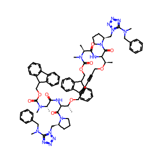 C[C@@H](OCC#CC#CCO[C@H](C)C(NC(=O)[C@H](C)N(C)C(=O)OCC1c2ccccc2-c2ccccc21)C(=O)N1CCC[C@H]1Cn1nnnc1N(C)Cc1ccccc1)C(NC(=O)[C@H](C)N(C)C(=O)OCC1c2ccccc2-c2ccccc21)C(=O)N1CCC[C@H]1Cn1nnnc1N(C)Cc1ccccc1